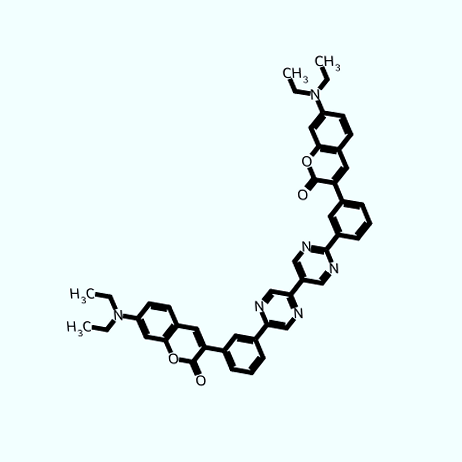 CCN(CC)c1ccc2cc(-c3cccc(-c4cnc(-c5cnc(-c6cccc(-c7cc8ccc(N(CC)CC)cc8oc7=O)c6)nc5)cn4)c3)c(=O)oc2c1